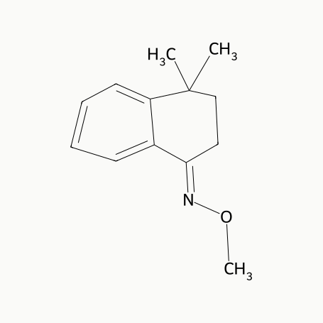 CO/N=C1\CCC(C)(C)c2ccccc21